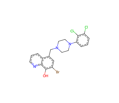 Oc1c(Br)cc(CN2CCN(c3cccc(Cl)c3Cl)CC2)c2cccnc12